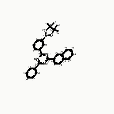 CC1(C)OB(c2cccc(-c3nc(-c4ccccc4)nc(-c4ccc5ccccc5c4)n3)c2)OC1(C)C